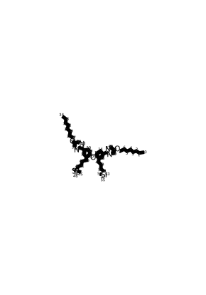 CCCCCCCCOc1cnc(-c2ccc(Oc3ccc(-c4ncc(OCCCCCCCC)cn4)cc3CCCC[Si](C)(C)C)c(CCCC[Si](C)(C)C)c2)nc1